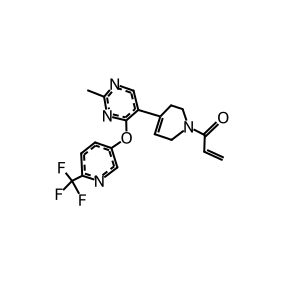 C=CC(=O)N1CC=C(c2cnc(C)nc2Oc2ccc(C(F)(F)F)nc2)CC1